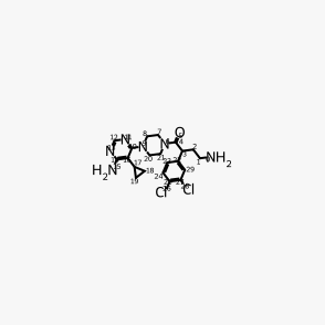 NCCC(C(=O)N1CCN(c2ncnc(N)c2C2CC2)CC1)c1ccc(Cl)c(Cl)c1